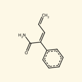 C=CC=C(C(N)=O)c1ccccc1